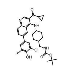 CC(C)(C)OC(=O)NC[C@H]1CC[C@H](Nc2c(C(=O)C3CC3)cnc3ccc(-c4cc(F)c(O)c(Cl)c4)cc23)CC1